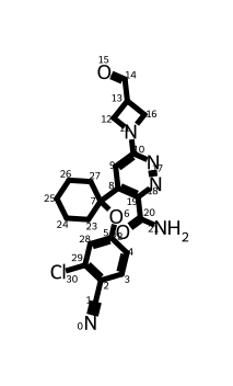 N#Cc1ccc(OC2(c3cc(N4CC(C=O)C4)nnc3C(N)=O)CCCCC2)cc1Cl